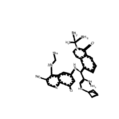 BC(B)(B)n1ccc2c([C@H](Nc3cc(Cl)c4ncc(C#N)c(NCC(C)(C)C)c4c3)/C(=C/NC34CC(C3)C4)NN)cccc2c1=O